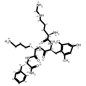 Cc1cc(O)cc(C)c1C[C@H](NC(=O)[C@H](N)CCCNCN)C(=O)N[C@@H](CCCCN)C(=O)N[C@@H](Cc1ccccc1)C(N)=O